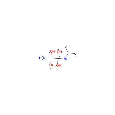 CC(C)NC(O)(O)C(N)(O)O